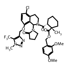 COc1ccc(COC(=O)[C@@]2(C)CCCC[C@H]2C(=O)N2CCc3c(Cl)ccc(OCc4nnn(C)c4C(F)(F)F)c3C2N2CCCC2=O)c(OC)c1